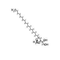 CCCCCCCCCCCCCCCCCCC(CC(O)C(O)CO)OC